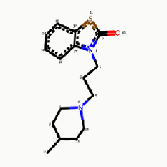 CC1CCN(CCCn2c(=O)sc3ccccc32)CC1